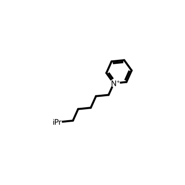 CC(C)CCCCC[n+]1ccccc1